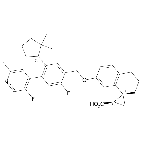 Cc1cc(-c2cc(F)c(COc3ccc4c(c3)[C@]3(CCC4)C[C@H]3C(=O)O)cc2[C@@H]2CCCC2(C)C)c(F)cn1